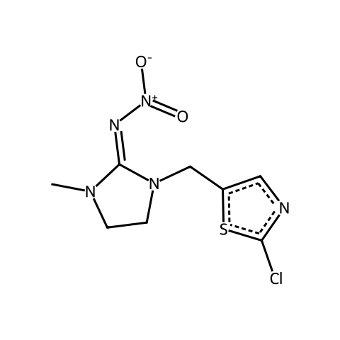 CN1CCN(Cc2cnc(Cl)s2)C1=N[N+](=O)[O-]